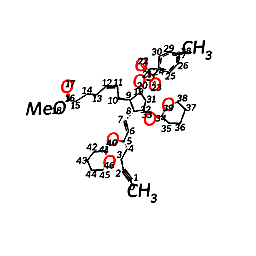 CC#CCC[C@@H](/C=C/[C@@H]1[C@@H](C/C=C\CCCC(=O)OC)[C@H](OS(=O)(=O)c2ccc(C)cc2)C[C@H]1OC1CCCCO1)OC1CCCCO1